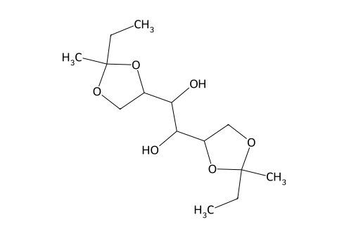 CCC1(C)OCC(C(O)C(O)C2COC(C)(CC)O2)O1